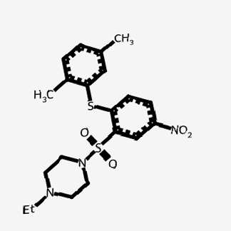 CCN1CCN(S(=O)(=O)c2cc([N+](=O)[O-])ccc2Sc2cc(C)ccc2C)CC1